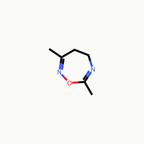 CC1=NOC(C)=NCC1